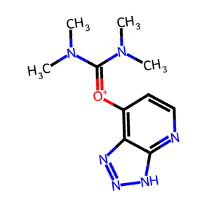 CN(C)C(=[O+]c1ccnc2[nH]nnc12)N(C)C